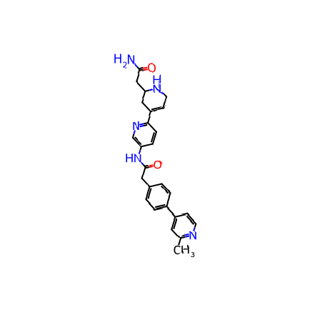 Cc1cc(-c2ccc(CC(=O)Nc3ccc(C4=CCNC(CC(N)=O)C4)nc3)cc2)ccn1